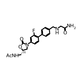 CC(=O)NC[C@H]1CN(c2ccc(-c3ccc(CNCC(N)=O)cc3)c(F)c2)C(=O)O1